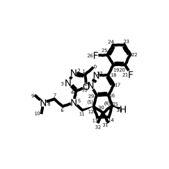 Cc1nnc(N(CCN(C)C)C[C@@]23CC[C@@H](c4cc(-c5c(F)cccc5F)nnc42)C3(C)C)o1